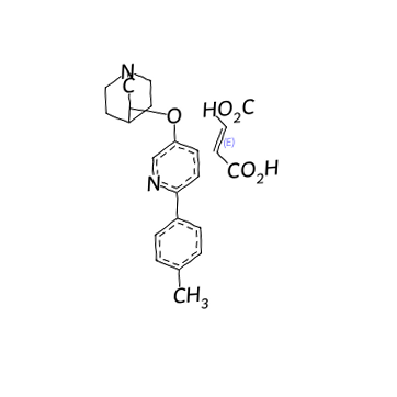 Cc1ccc(-c2ccc(OC3CN4CCC3CC4)cn2)cc1.O=C(O)/C=C/C(=O)O